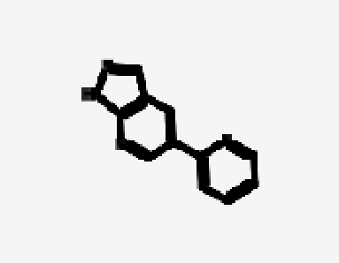 c1ccc(-c2cnc3[nH]ncc3c2)nc1